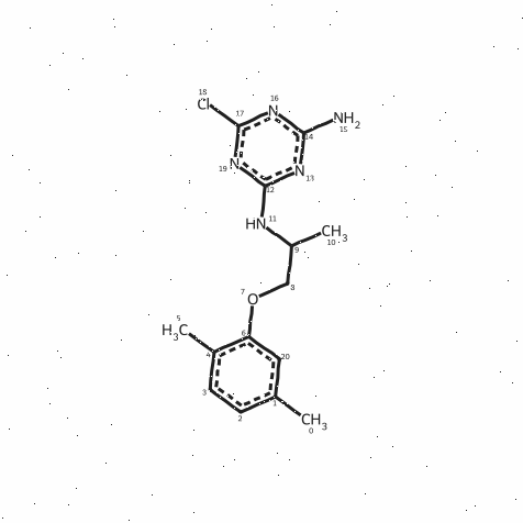 Cc1ccc(C)c(OCC(C)Nc2nc(N)nc(Cl)n2)c1